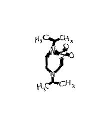 CC(C)N1CCN(C(C)C)S(=O)(=O)C1